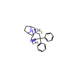 CCC[N+]1(C)C2CCC1CC(CC(C#N)(c1ccccc1)c1ccccc1)C2